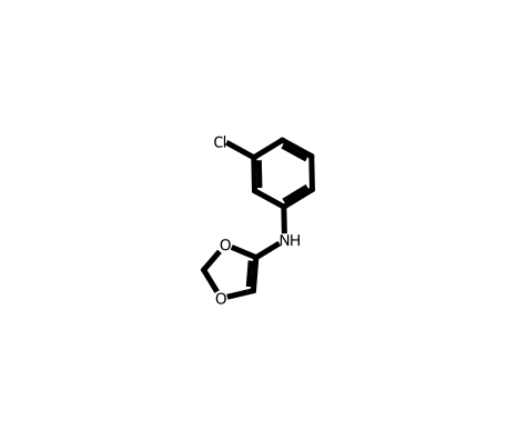 Clc1cccc(NC2=COCO2)c1